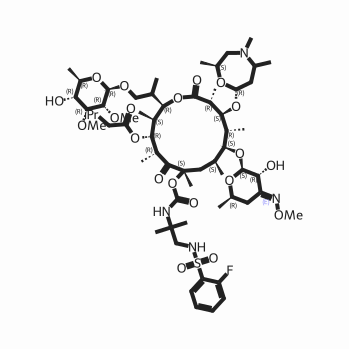 CO/N=C1\C[C@@H](C)O[C@@H](O[C@@H]2[C@@H](C)[C@H](O[C@H]3CC(C)N(C)C[C@H](C)O3)[C@@H](C)C(=O)O[C@H](C(C)CO[C@@H]3O[C@H](C)[C@@H](O)[C@@H](OC)[C@H]3OC)[C@H](C)[C@@H](OC(=O)CC(C)C)[C@@H](C)C(=O)[C@@](C)(OC(=O)NC(C)(C)CNS(=O)(=O)c3ccccc3F)C[C@@H]2C)[C@@H]1O